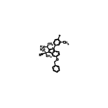 Cc1cc(-n2c(C(C)C)c(C(C)(C)C#N)c3cc(OCc4ccccc4)ccc32)ccc1F